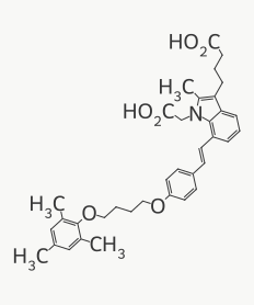 Cc1cc(C)c(OCCCCOc2ccc(C=Cc3cccc4c(CCCC(=O)O)c(C)n(CC(=O)O)c34)cc2)c(C)c1